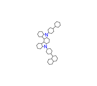 C1CCC(C2CCC(N3C4CCCCC4C4C5C6CCCCC6N(C6CCC(C7CCCC8CCCCC87)CC6)C5CCC43)CC2)CC1